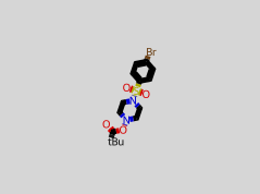 CC(C)(C)C(=O)ON1CCN(S(=O)(=O)c2ccc(Br)cc2)CC1